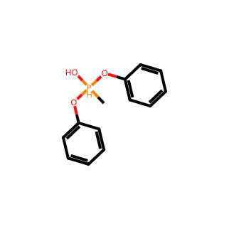 C[PH](O)(Oc1ccccc1)Oc1ccccc1